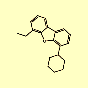 CCc1cccc2c1oc1c(C3CCCCC3)cccc12